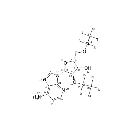 CC(C)(C)[Si](C)(C)OC[C@H]1O[C@@H](n2cnc3c(N)ncnc32)[C@H](O[Si](C)(C)C(C)(C)C)[C@H]1O